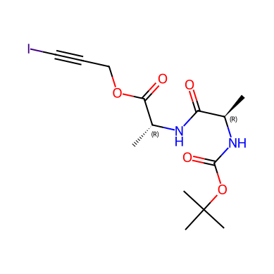 C[C@@H](NC(=O)OC(C)(C)C)C(=O)N[C@H](C)C(=O)OCC#CI